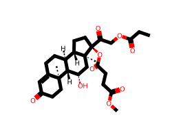 CCC(=O)OCC(=O)[C@@]1(OC(=O)CCC(=O)OC)CC[C@H]2[C@@H]3CCC4=CC(=O)CC[C@]4(C)[C@H]3[C@@H](O)C[C@@]21C